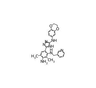 Cc1cc(-c2nnc(Nc3ccc4c(c3)OCCO4)[nH]2)c(NCc2cccnc2)c(C)c1N